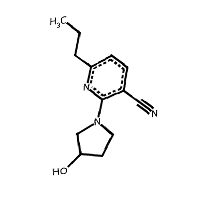 CCCc1ccc(C#N)c(N2CCC(O)C2)n1